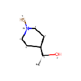 C[C@@H](O)C1CCN(S)CC1